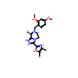 COc1ccc(CN2CCn3c(-c4nc(C)c(C)s4)nnc3[C@H]2C)c(OC)c1